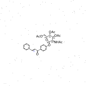 CC(=O)N[C@H]1[C@@H](Oc2ccc(C(=O)/C=C/c3ccccc3)cc2)O[C@@H](COC(C)=O)[C@@H](OC(C)=O)[C@H]1OC(C)=O